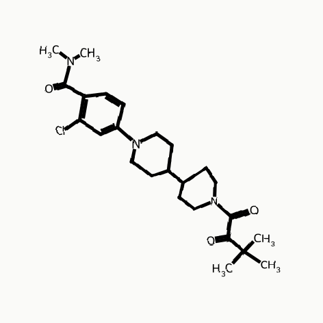 CN(C)C(=O)c1ccc(N2CCC(C3CCN(C(=O)C(=O)C(C)(C)C)CC3)CC2)cc1Cl